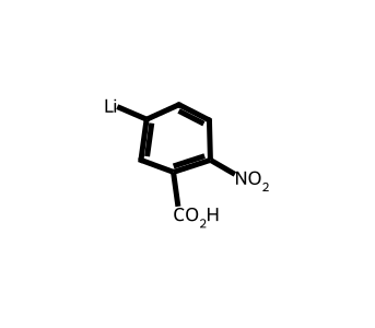 [Li][c]1ccc([N+](=O)[O-])c(C(=O)O)c1